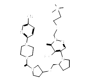 C[Si](C)(C)CCOCn1ncc(N2CCC[C@H]2COC2CCN(C(=O)N3CCN(c4ccc(C#N)cn4)CC3)C2)c(C(F)(F)F)c1=O